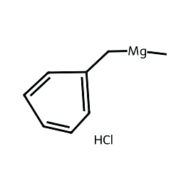 Cl.[CH3][Mg][CH2]c1ccccc1